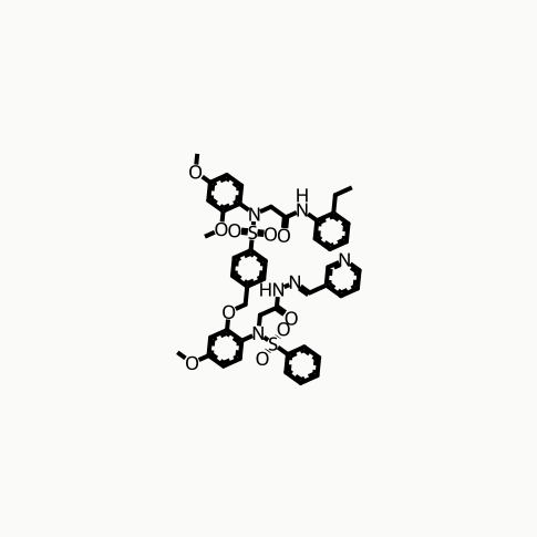 CCc1ccccc1NC(=O)CN(c1ccc(OC)cc1OC)S(=O)(=O)c1ccc(COc2cc(OC)ccc2N(CC(=O)N/N=C/c2cccnc2)S(=O)(=O)c2ccccc2)cc1